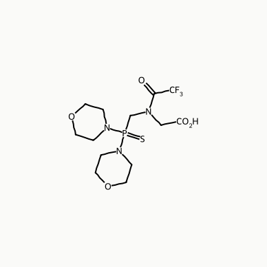 O=C(O)CN(CP(=S)(N1CCOCC1)N1CCOCC1)C(=O)C(F)(F)F